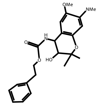 CNc1cc2c(cc1OC)C(NC(=O)OCCc1ccccc1)C(O)C(C)(C)O2